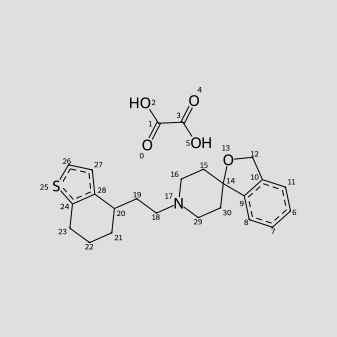 O=C(O)C(=O)O.c1ccc2c(c1)COC21CCN(CCC2CCCc3sccc32)CC1